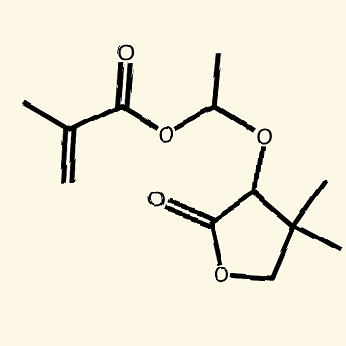 C=C(C)C(=O)OC(C)OC1C(=O)OCC1(C)C